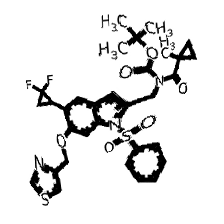 CC(C)(C)OC(=O)N(Cc1cc2cc(C3CC3(F)F)c(OCc3cscn3)cc2n1S(=O)(=O)c1ccccc1)C(=O)C1(C)CC1